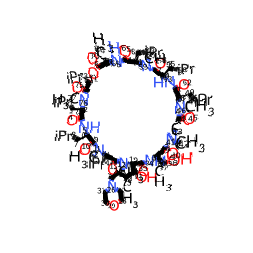 CC(C)C[C@@H]1C(=O)N[C@H](CC(C)C)C(=O)N(C)[C@H](C(C)C)C(=O)N(C)[C@H]([C@H](O)[C@H](C)CCN2CCOCC2)C(=O)N[C@H]([C@@H](C)O)C(=O)N(C)CC(=O)N(C)[C@@H](CC(C)C)C(=O)N[C@H](CC(C)C)C(=O)N(C)[C@H](CC(C)C)C(=O)N[C@H](C)C(=O)O[C@@H](C(C)C)C(=O)N1C